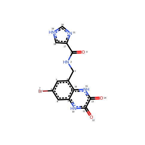 O=C(NCc1cc(Br)cc2[nH]c(=O)c(=O)[nH]c12)c1c[nH]cn1